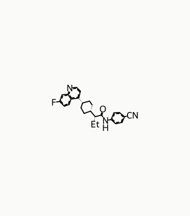 CC[C@@H](C(=O)Nc1ccc(C#N)cc1)[C@H]1CC[C@@H](c2ccnc3cc(F)ccc32)CC1